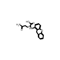 NC(=O)CC[C@H](Nc1cccc2c1Cc1ccccc1O2)C(=O)O